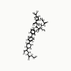 C=C(C#N)CCN(CC)C(=O)[C@H](Cc1ccc(-c2ncc(C3=CCC(C(CC)CCC(C)CCC)CC3)cn2)cc1)NC(=C)c1ccc(C(C)C)s1